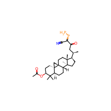 CC(=O)O[C@H]1CC[C@]23C[C@]24CC[C@]2(C)[C@@H]([C@H](C)CC(=O)/C(C#N)=P/P)CC[C@@]2(C)[C@@H]4CC[C@H]3C1(C)C